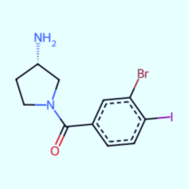 N[C@H]1CCN(C(=O)c2ccc(I)c(Br)c2)C1